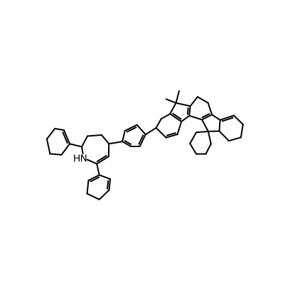 CC1(C)C2=C(C=CC(c3ccc(C4C=C(C5=CCCC=C5)NC(C5=CCCCC5)CC4)cc3)C2)C2=C1CCC1=C2C2(CCCCC2)C2CCCC=C12